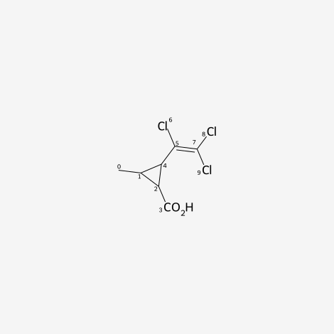 CC1C(C(=O)O)C1C(Cl)=C(Cl)Cl